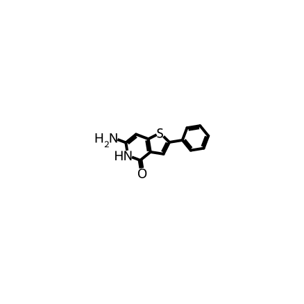 Nc1cc2sc(-c3ccccc3)cc2c(=O)[nH]1